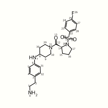 NCCc1ccc(NC2CCN(C(=O)[C@@H]3CCCN3S(=O)(=O)c3ccc(F)cc3)CC2)cc1